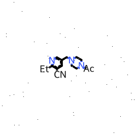 CCc1ncc(CN2CCN(C(C)=O)CC2)cc1C#N